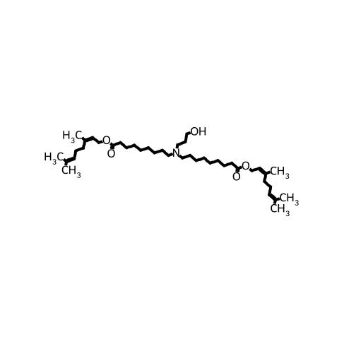 CC(C)=CCC/C(C)=C\COC(=O)CCCCCCCCN(CCCO)CCCCCCCCC(=O)OC/C=C(/C)CCC=C(C)C